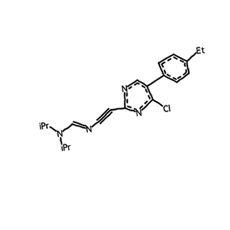 CCc1ccc(-c2cnc(C#CN=CN(C(C)C)C(C)C)nc2Cl)cc1